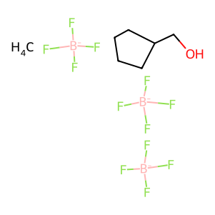 C.F[B-](F)(F)F.F[B-](F)(F)F.F[B-](F)(F)F.OCC1CCCC1